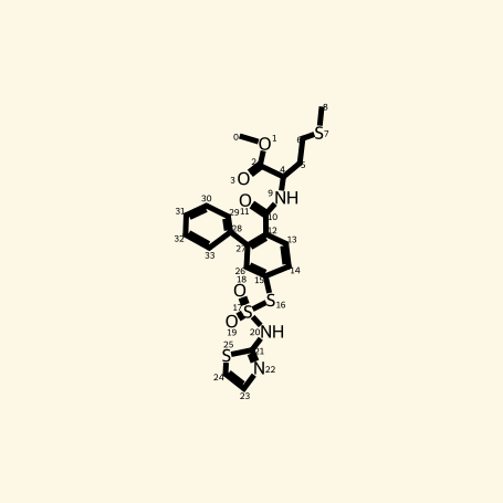 COC(=O)C(CCSC)NC(=O)c1ccc(SS(=O)(=O)Nc2nccs2)cc1-c1ccccc1